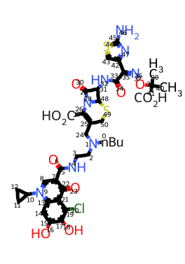 CCCCN(CCNC(=O)c1cn(C2CC2)c2cc(O)c(O)c(Cl)c2c1=O)CC1=C(C(=O)O)N2C(=O)C(NC(=O)/C(=N\OC(C)(C)C(=O)O)c3csc(N)n3)C2SC1